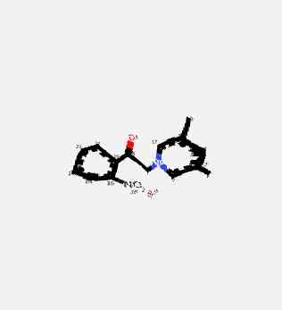 Cc1cc(C)c[n+](CC(=O)c2ccccc2[N+](=O)[O-])c1.[Br-]